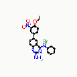 CCOc1ccc(-c2ccc3nc(N)nc(N(Br)c4ccccc4)c3c2)cc1[N+](=O)[O-]